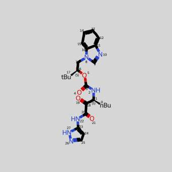 CCCC[C@H](NC(=O)O[C@H](Cn1cnc2ccccc21)C(C)(C)C)C(=O)C(=O)Nc1ccn[nH]1